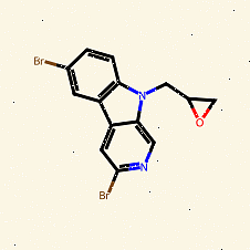 Brc1ccc2c(c1)c1cc(Br)ncc1n2CC1CO1